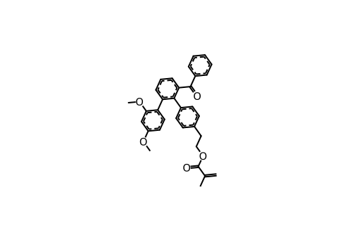 C=C(C)C(=O)OCCc1ccc(-c2c(C(=O)c3ccccc3)cccc2-c2ccc(OC)cc2OC)cc1